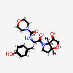 O=C1CO[C@@H]2CCN(C(=O)[C@H](Cc3ccc(O)cc3)NC(=O)N3CCOCC3)[C@H]12